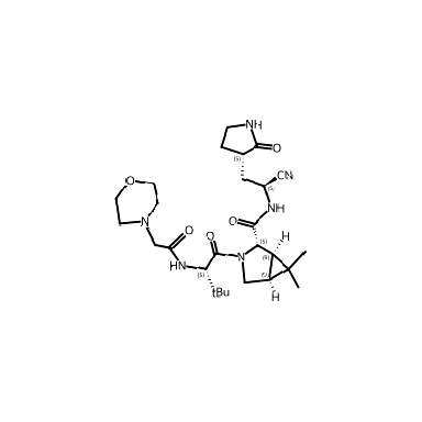 CC(C)(C)[C@H](NC(=O)CN1CCOCC1)C(=O)N1C[C@H]2[C@@H]([C@H]1C(=O)N[C@H](C#N)C[C@@H]1CCNC1=O)C2(C)C